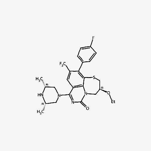 CCO[C@@H]1CSc2c(-c3ccc(F)cc3)c(C(F)(F)F)cc3c(N4C[C@@H](C)N[C@@H](C)C4)nc(=O)n(c23)C1